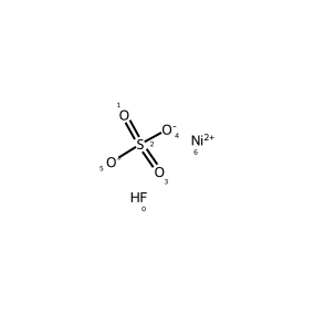 F.O=S(=O)([O-])[O-].[Ni+2]